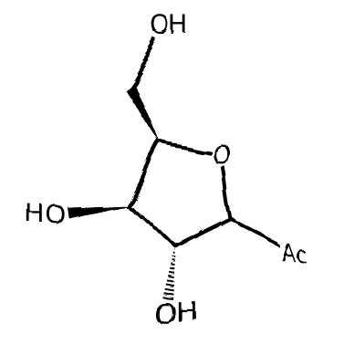 CC(=O)C1O[C@H](CO)[C@H](O)[C@H]1O